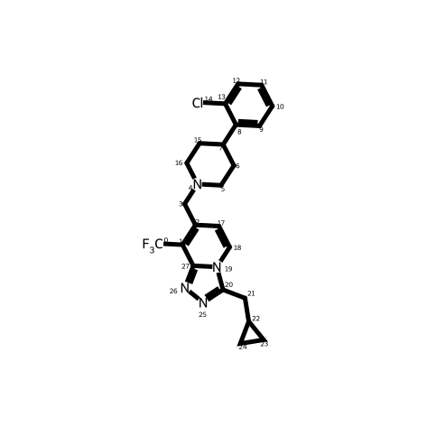 FC(F)(F)c1c(CN2CCC(c3ccccc3Cl)CC2)ccn2c(CC3CC3)nnc12